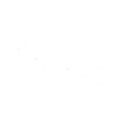 CC[C@@H](C)CC1=NC2=CC(C=C1)CCN(CCC1CCCCC1)CC2